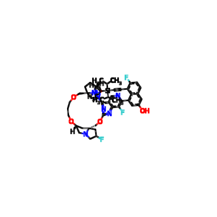 CC(C)[Si](C#Cc1c(F)ccc2cc(O)cc(-c3ncc4c5nc(nc4c3F)OC[C@]34C[C@@H](F)CN3C[C@@H](C4)OCCCOC[C@]34CC[C@H](CN5C3)N4)c12)(C(C)C)C(C)C